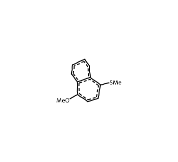 COc1ccc(SC)c2ccccc12